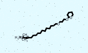 C[Si](C)(C)C#CCCCCCCCCCCCCOCCCOC1CCCCO1